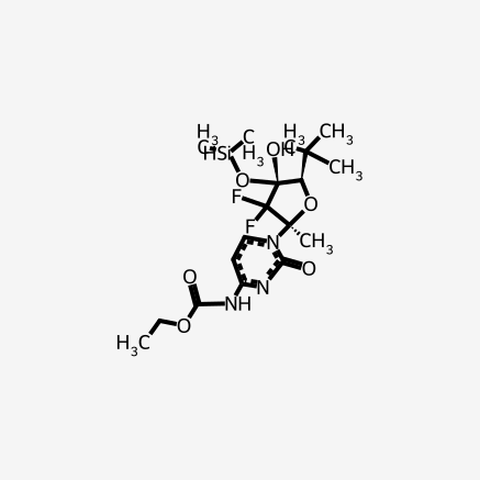 CCOC(=O)Nc1ccn([C@]2(C)O[C@H](C(C)(C)C)[C@@](O)(O[SiH](C)C)C2(F)F)c(=O)n1